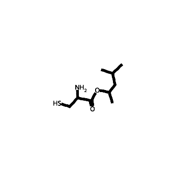 CC(C)CC(C)OC(=O)C(N)CS